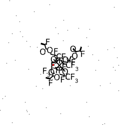 C=C(F)C(=O)OCC(F)(OC(F)(F)C(C(F)(F)OC(F)(COC(=O)C(=C)F)C(F)(F)F)(C(F)(F)OC(F)(COC(=O)C(=C)F)C(F)(F)F)C(F)(F)C(F)(F)F)C(F)(F)F